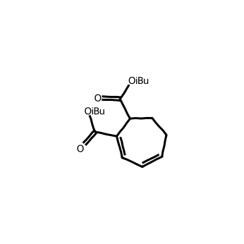 CC(C)COC(=O)C1=CC=CCCC1C(=O)OCC(C)C